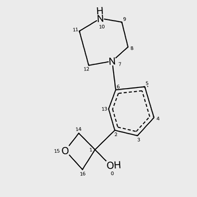 OC1(c2cc[c]c(N3CCNCC3)c2)COC1